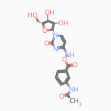 CC(=O)Nc1cccc(C(=O)ONc2ccn([C@@H]3O[C@H](CO)[C@@H](O)[C@H]3O)c(=O)n2)c1